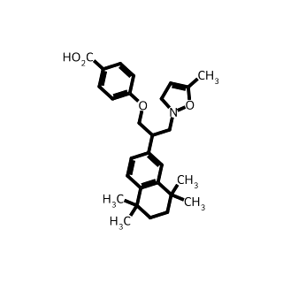 CC1=CCN(CC(COc2ccc(C(=O)O)cc2)c2ccc3c(c2)C(C)(C)CCC3(C)C)O1